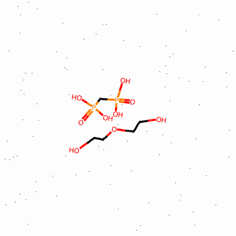 O=P(O)(O)CP(=O)(O)O.OCCOCCO